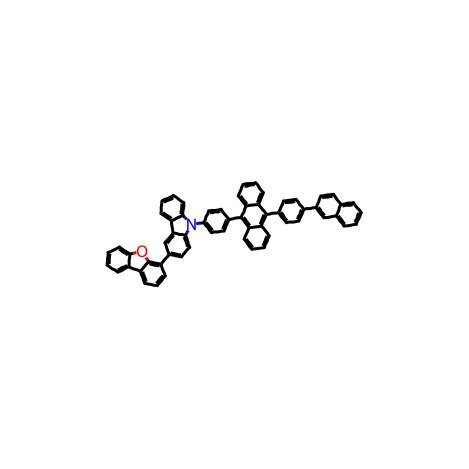 c1ccc2cc(-c3ccc(-c4c5ccccc5c(-c5ccc(-n6c7ccccc7c7cc(-c8cccc9c8oc8ccccc89)ccc76)cc5)c5ccccc45)cc3)ccc2c1